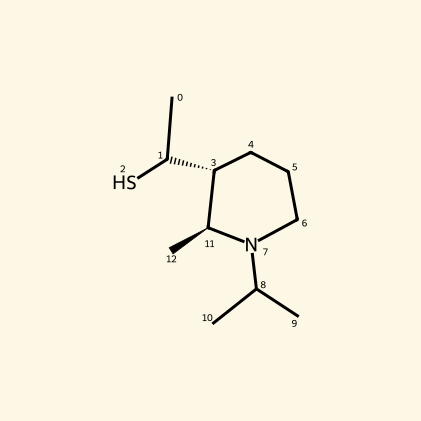 CC(S)[C@@H]1CCCN(C(C)C)[C@H]1C